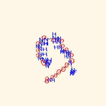 Cn1cc(NC(=O)c2nc(NC(=O)CCNC(=O)c3cc(NC(=O)c4nccn4C)cn3C)cn2C)cc1C(=O)NCCCC(=O)Nc1cn(C)c(C(=O)NCCC(=O)Nc2cc(C(=O)Nc3cn(C)c(C(=O)NCCC(=O)N(CCCCN=[N+]=[N-])CCOCCOCCOCCOCCOCCNC(=O)OC(C)(C)C)n3)n(C)c2)n1